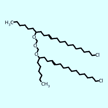 CCCCCCC(CCC=CCCCCCCCCCCCl)OCOCOC(CCC=CCCCCCCCCCCCl)CCCCCC